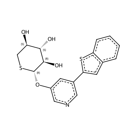 O[C@@H]1[C@@H](O)[C@H](Oc2cncc(-c3cc4ccccc4s3)c2)SC[C@H]1O